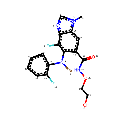 Cn1cnc2c(F)c(N(Br)c3ccccc3F)c(C(=O)NOCCO)cc21